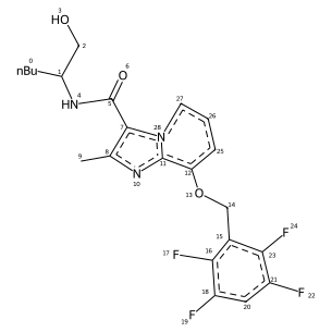 CCCCC(CO)NC(=O)c1c(C)nc2c(OCc3c(F)c(F)cc(F)c3F)cccn12